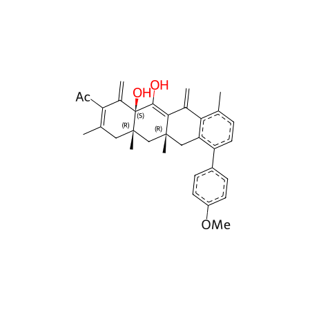 C=C1C2=C(O)[C@@]3(O)C(=C)C(C(C)=O)=C(C)C[C@@]3(C)C[C@@]2(C)Cc2c(-c3ccc(OC)cc3)ccc(C)c21